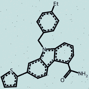 CCc1ccc(Cn2c3cc(-c4cccs4)c[c]c3c3c(C(N)=O)cccc32)cc1